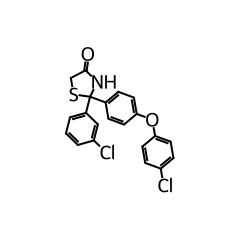 O=C1CSC(c2ccc(Oc3ccc(Cl)cc3)cc2)(c2cccc(Cl)c2)N1